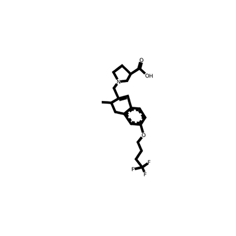 CC1Cc2cc(OCCCC(F)(F)F)ccc2C=C1CN1CCC(C(=O)O)C1